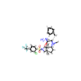 CN([C@@H](Cc1ccccc1)C(N)=O)[C@H]1CC[C@@H]2CN(S(=O)(=O)c3ccc(C(F)(F)F)cc3Cl)C[C@@H]21